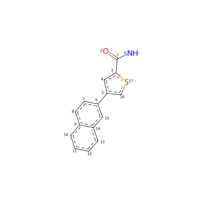 [NH]C(=O)c1cc(-c2ccc3ccccc3c2)cs1